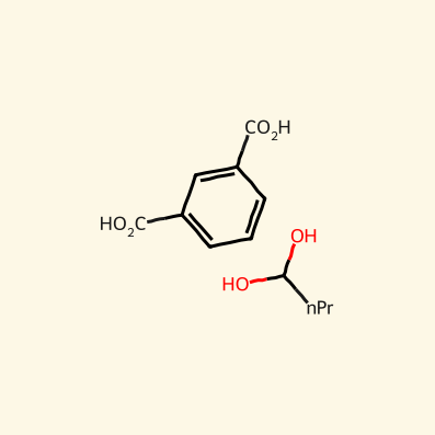 CCCC(O)O.O=C(O)c1cccc(C(=O)O)c1